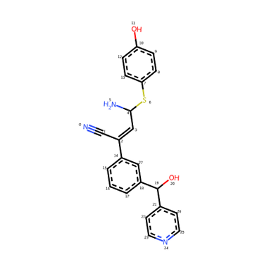 N#C/C(=C\C(N)Sc1ccc(O)cc1)c1cccc(C(O)c2ccncc2)c1